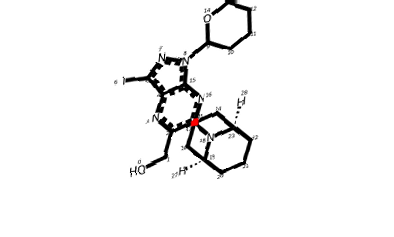 OCc1nc2c(I)nn(C3CCCCO3)c2nc1N1[C@H]2CCC[C@@H]1CCC2